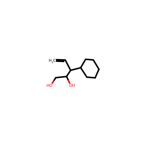 C=CC(C(O)CO)C1CCCCC1